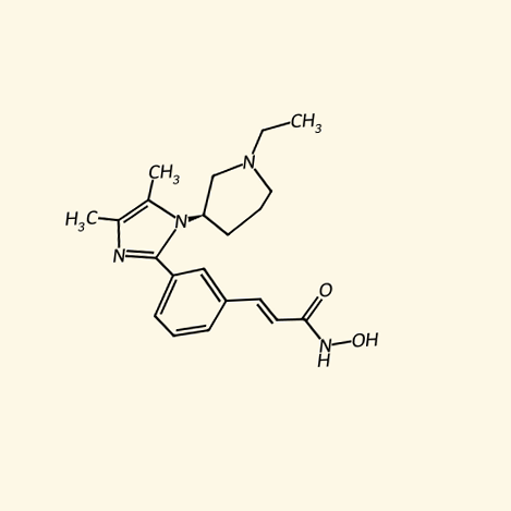 CCN1CCC[C@@H](n2c(-c3cccc(C=CC(=O)NO)c3)nc(C)c2C)C1